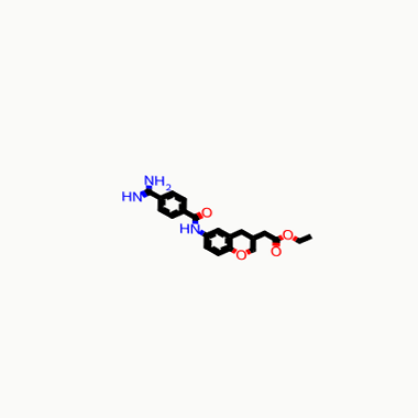 CCOC(=O)CC1COc2ccc(NC(=O)c3ccc(C(=N)N)cc3)cc2C1